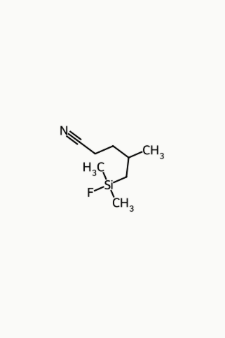 CC(CCC#N)C[Si](C)(C)F